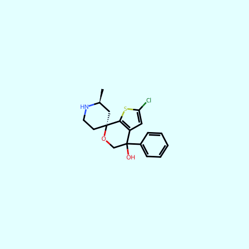 C[C@H]1C[C@@]2(CCN1)OCC(O)(c1ccccc1)c1cc(Cl)sc12